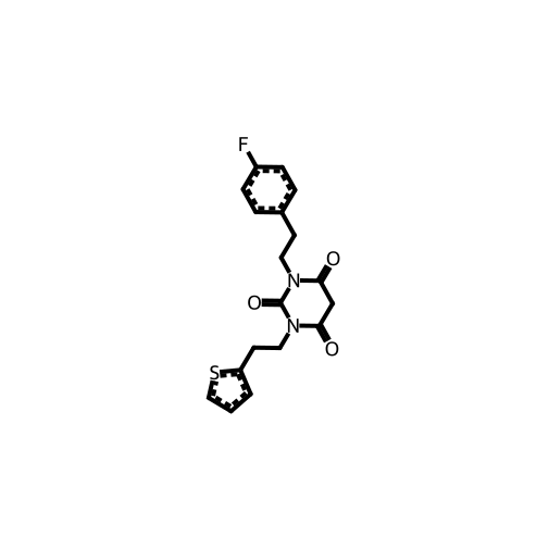 O=C1CC(=O)N(CCc2cccs2)C(=O)N1CCc1ccc(F)cc1